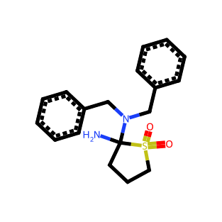 NC1(N(Cc2ccccc2)Cc2ccccc2)CCCS1(=O)=O